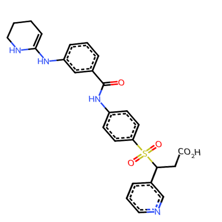 O=C(O)CC(c1cccnc1)S(=O)(=O)c1ccc(NC(=O)c2cccc(NC3=CCCCN3)c2)cc1